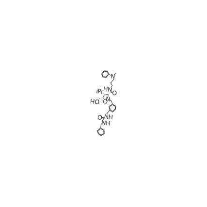 CC(C)[C@H]1[C@@H](CO)ON(Cc2cccc(CNC(=O)NCc3ccccc3)c2)[C@H]1C(=O)NCCCN(C)c1ccccc1